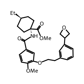 CC[C@H]1CC[C@@](NC(=O)c2ccc(OC)c(OCCc3cccc(C4COC4)c3)c2)(C(=O)OC)CC1